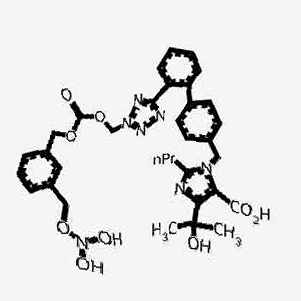 CCCc1nc(C(C)(C)O)c(C(=O)O)n1Cc1ccc(-c2ccccc2-c2nnn(COC(=O)OCc3cccc(CON(O)O)c3)n2)cc1